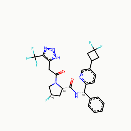 O=C(N[C@@H](c1ccccc1)c1ccc(C2CC(F)(F)C2)cn1)[C@@H]1C[C@@H](F)CN1C(=O)Cc1[nH]nnc1C(F)(F)F